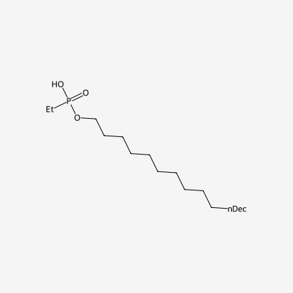 CCCCCCCCCCCCCCCCCCCCOP(=O)(O)CC